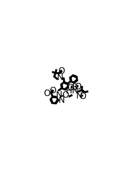 CCOc1nc2cccc(C(=O)OC)c2n1Cc1ccc(-c2ccccc2S(=O)(=O)Nc2noc(C)c2C)c(CN2CCC(C)(C)C2=O)c1